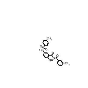 Cc1ccc(S(=O)(=O)Nc2ccc3ncn(C(=O)c4cccc(C(F)(F)F)c4)c(=O)c3c2)cc1